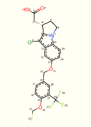 O=C(O)C[C@@H]1CCn2c1c(Cl)c1cc(OCc3ccc(OCF)c(C(F)(F)F)c3)ccc12